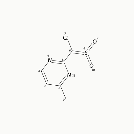 Cc1ccnc(C(Cl)=S(=O)=O)n1